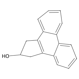 OC1Cc2c(c3ccccc3c3ccccc23)C1